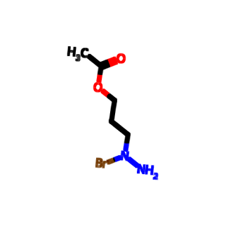 CC(=O)OCCCN(N)Br